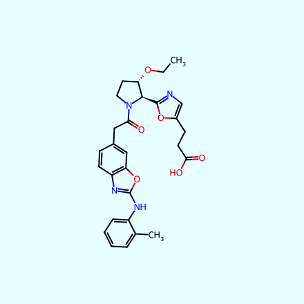 CCO[C@H]1CCN(C(=O)Cc2ccc3nc(Nc4ccccc4C)oc3c2)[C@@H]1c1ncc(CCC(=O)O)o1